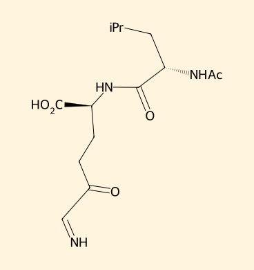 CC(=O)N[C@@H](CC(C)C)C(=O)N[C@@H](CCC(=O)C=N)C(=O)O